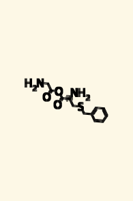 NCC(=O)OC(=O)[C@@H](N)CSCc1ccccc1